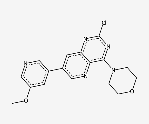 COc1cncc(-c2cnc3c(N4CCOCC4)nc(Cl)nc3c2)c1